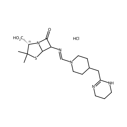 CC1(C)SC2C(N=CN3CCC(CC4=NCCCN4)CC3)C(=O)N2[C@H]1C(=O)O.Cl